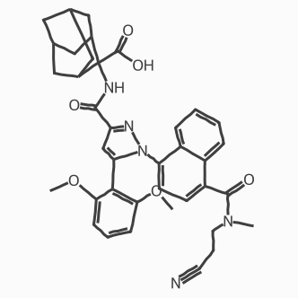 COc1cccc(OC)c1-c1cc(C(=O)NC2(C(=O)O)C3CC4CC(C3)CC2C4)nn1-c1ccc(C(=O)N(C)CCC#N)c2ccccc12